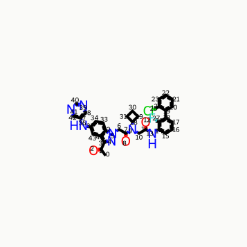 CC(=O)c1nn(CC(=O)N(CC(=O)Nc2cccc(-c3ccccc3Cl)c2F)C2CCC2)c2ccc(Nc3cncnc3)cc12